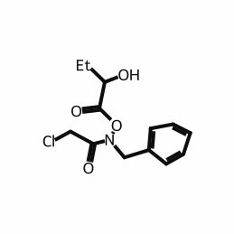 CCC(O)C(=O)ON(Cc1ccccc1)C(=O)CCl